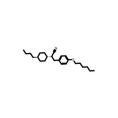 CCCCCCOc1ccc(CC(C#N)[C@H]2CC[C@H](CCCC)CC2)cc1